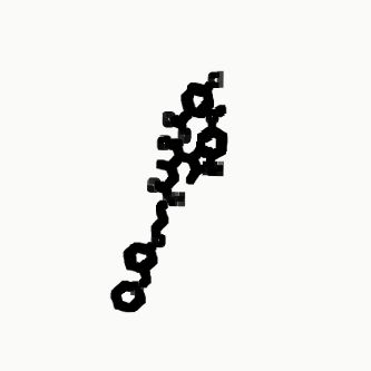 COc1ccc2[nH]c(C)c(C(C(=O)OC(=O)c3ccc(Cl)cc3)C(C)CC(=O)NCCCOc3cccc(CN4CCCCC4)c3)c2c1